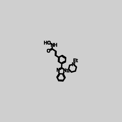 CCN1CCC[C@H](n2c(-c3cccc(C=CC(=O)NO)c3)nc3ccccc32)C1